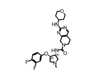 CN1C[C@@H](NC(=O)N2CCc3cnc(NC4CCOCC4)nc3C2)[C@H](Oc2ccc(F)c(F)c2)C1